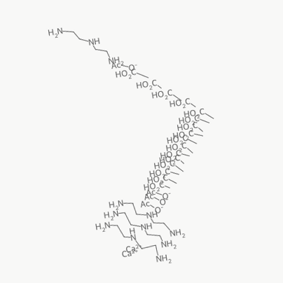 CC(=O)O.CC(=O)O.CC(=O)O.CC(=O)O.CC(=O)O.CC(=O)O.CC(=O)O.CC(=O)O.CC(=O)O.CC(=O)O.CC(=O)O.CC(=O)O.CC(=O)O.CC(=O)O.CC(=O)O.CC(=O)O.CC(=O)[O-].CC(=O)[O-].CC(=O)[O-].CC(=O)[O-].NCCNCCN.NCCNCCN.NCCNCCN.NCCNCCN.[Ca+2].[Ca+2]